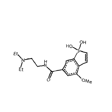 CCN(CC)CCNC(=O)c1cc(OC)c2c(c1)S(O)(O)C=C2